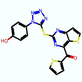 O=C(c1cccs1)c1nc(Sc2nnnn2-c2ccc(O)cc2)nc2ccsc12